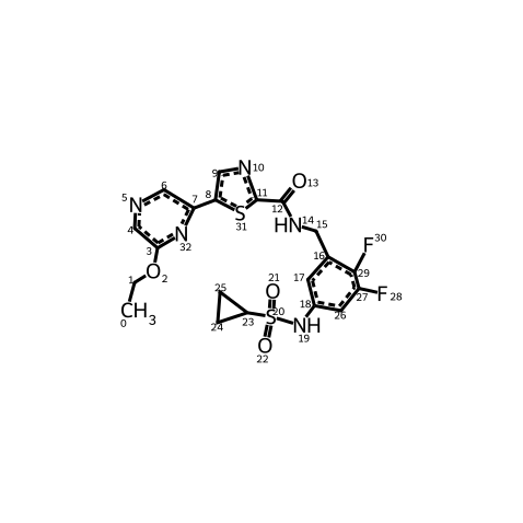 CCOc1cncc(-c2cnc(C(=O)NCc3cc(NS(=O)(=O)C4CC4)cc(F)c3F)s2)n1